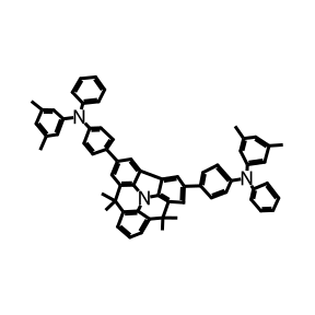 Cc1cc(C)cc(N(c2ccccc2)c2ccc(-c3cc4c5c(c3)c3cc(-c6ccc(N(c7ccccc7)c7cc(C)cc(C)c7)cc6)cc6c3n5-c3c(cccc3C6(C)C)C4(C)C)cc2)c1